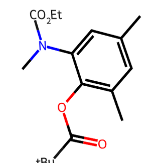 CCOC(=O)N(C)c1cc(C)cc(C)c1OC(=O)C(C)(C)C